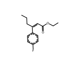 CCC/C(=C/C(=O)OCC)c1ccc(F)cc1